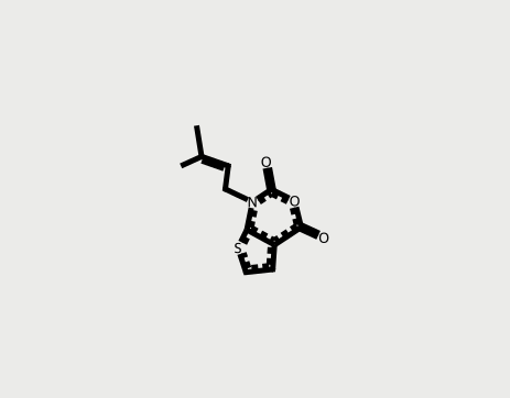 CC(C)=CCn1c(=O)oc(=O)c2ccsc21